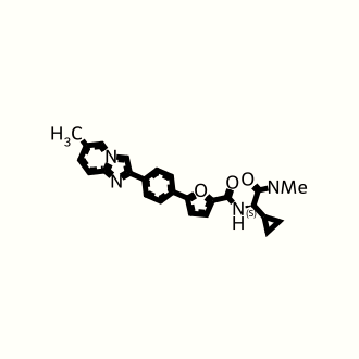 CNC(=O)[C@@H](NC(=O)c1ccc(-c2ccc(-c3cn4cc(C)ccc4n3)cc2)o1)C1CC1